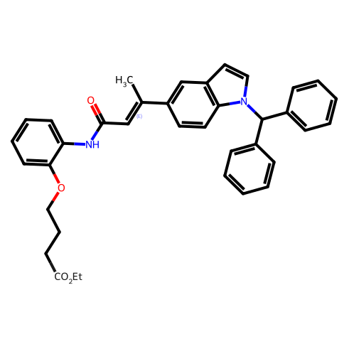 CCOC(=O)CCCOc1ccccc1NC(=O)/C=C(\C)c1ccc2c(ccn2C(c2ccccc2)c2ccccc2)c1